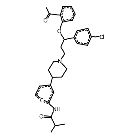 CC(=O)c1ccccc1OC(CCN1CCC(c2cccc(NC(=O)C(C)C)c2)CC1)c1ccc(Cl)cc1